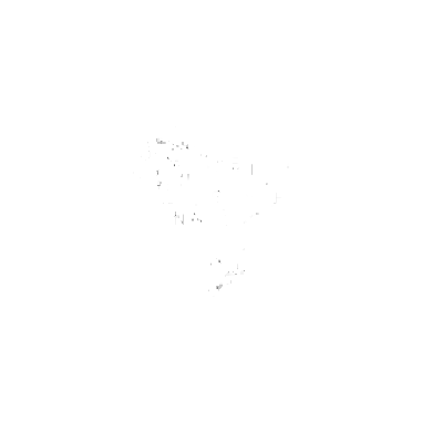 CCC(c1ccc(C(F)(F)F)cc1)(C(C)OS(C)(=O)=O)n1ncc2c(N(S(C)(=O)=O)S(C)(=O)=O)cc(F)cc21